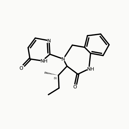 CC[C@H](C)C1C(=O)Nc2ccccc2CN1c1nccc(=O)[nH]1